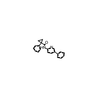 O=C(Nc1ccc(-c2ccccc2)cn1)C1(c2ccccc2)CC1